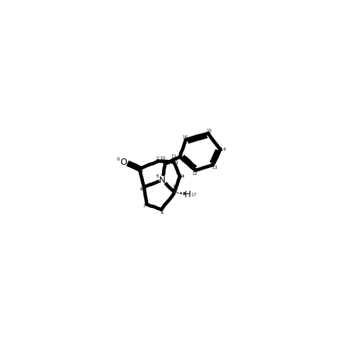 O=C1CCC[C@H]2CCC1N2Cc1ccccc1